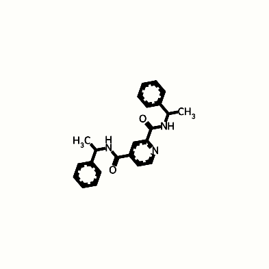 CC(NC(=O)c1ccnc(C(=O)NC(C)c2ccccc2)c1)c1ccccc1